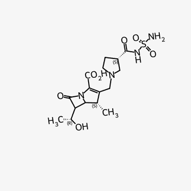 C[C@@H](O)C1C(=O)N2C(C(=O)O)=C(CN3CC[C@H](C(=O)NS(N)(=O)=O)C3)[C@H](C)C12